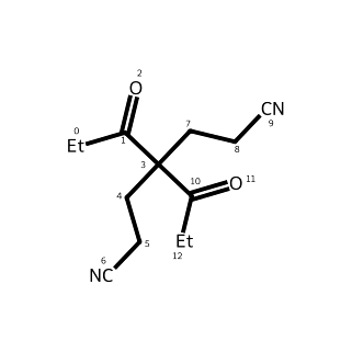 CCC(=O)C(CCC#N)(CCC#N)C(=O)CC